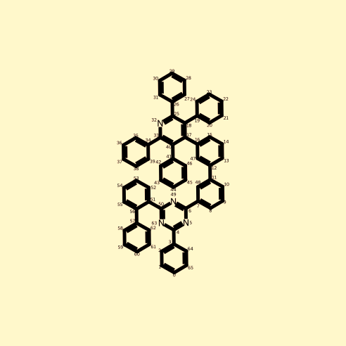 c1ccc(-c2nc(-c3cccc(-c4cccc(-c5c(-c6ccccc6)c(-c6ccccc6)nc(-c6ccccc6)c5-c5ccccc5)c4)c3)nc(-c3ccccc3-c3ccccc3)n2)cc1